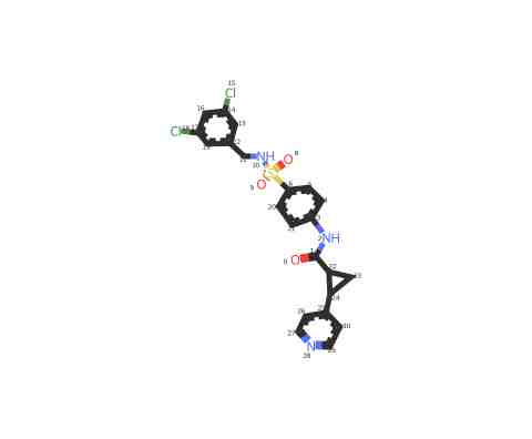 O=C(Nc1ccc(S(=O)(=O)NCc2cc(Cl)cc(Cl)c2)cc1)C1CC1c1ccncc1